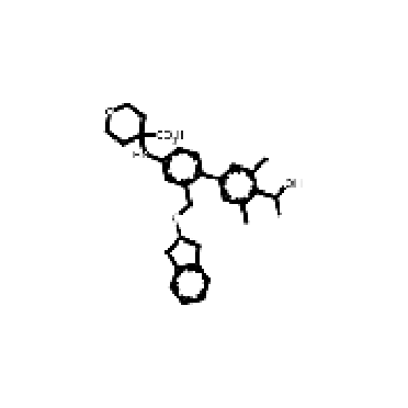 Cc1cc(-c2ccc(NC3(C(=O)O)CCOCC3)cc2COC2Cc3ccccc3C2)cc(C)c1C(C)O